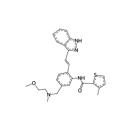 COCCN(C)Cc1ccc(/C=C/c2n[nH]c3ccccc23)c(NC(=O)c2sccc2C)c1